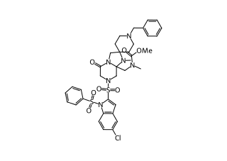 COC(=O)N(C)CC12CN(S(=O)(=O)c3cc4cc(Cl)ccc4n3S(=O)(=O)c3ccccc3)CC(=O)N1CC1(CCN(Cc3ccccc3)CC1)N2C